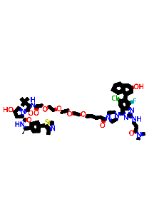 Cc1ncsc1-c1ccc([C@H](C)NC(=O)[C@@H]2C[C@@H](O)CN2C(=O)[C@@H](NC(=O)COCCOCCOCCOCCCCC(=O)N2CCN(c3nc(NCCC(=O)N(C)C)nc4c(F)c(-c5cc(O)cc6ccccc56)c(Cl)cc34)CC2)C(C)(C)C)cc1